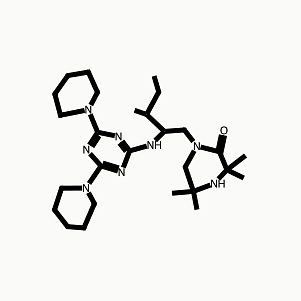 CCC(C)C(CN1CC(C)(C)NC(C)(C)C1=O)Nc1nc(N2CCCCC2)nc(N2CCCCC2)n1